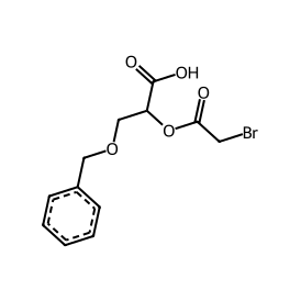 O=C(CBr)OC(COCc1ccccc1)C(=O)O